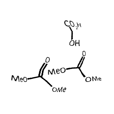 COC(=O)OC.COC(=O)OC.O=C(O)O